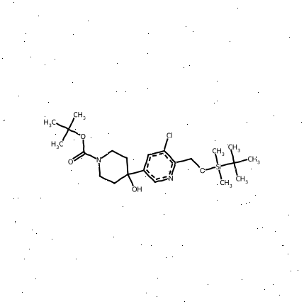 CC(C)(C)OC(=O)N1CCC(O)(c2cnc(CO[Si](C)(C)C(C)(C)C)c(Cl)c2)CC1